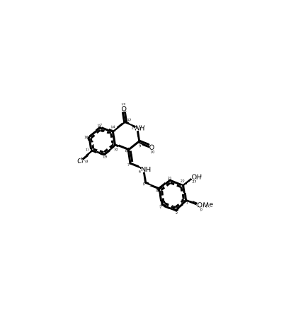 COc1ccc(CN/C=C2\C(=O)NC(=O)c3ccc(Cl)cc32)cc1O